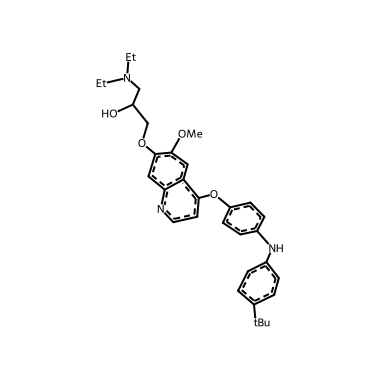 CCN(CC)CC(O)COc1cc2nccc(Oc3ccc(Nc4ccc(C(C)(C)C)cc4)cc3)c2cc1OC